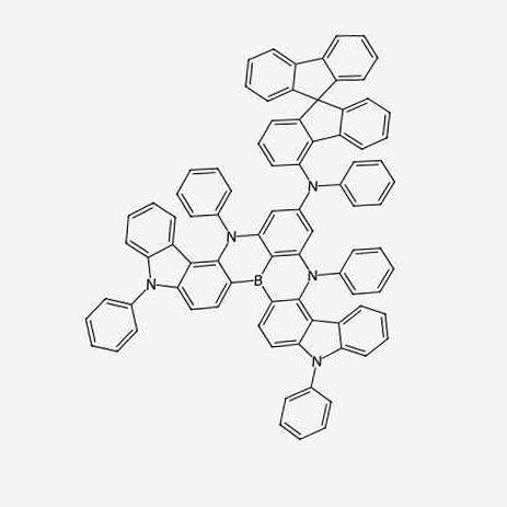 c1ccc(N(c2cc3c4c(c2)N(c2ccccc2)c2c(ccc5c2c2ccccc2n5-c2ccccc2)B4c2ccc4c(c2N3c2ccccc2)c2ccccc2n4-c2ccccc2)c2cccc3c2-c2ccccc2C32c3ccccc3-c3ccccc32)cc1